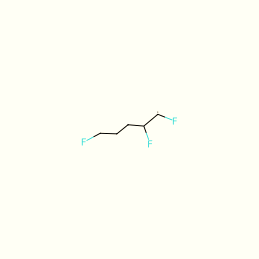 F[CH]C(F)CCCF